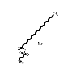 CCCCCCCCCCCCCCCC(=O)OS(=O)(=O)CCN.[Na]